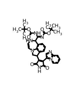 CC(C)(C)OC(=O)N=C(NC(=O)OC(C)(C)C)C1NC=CN2CC(C3=C(c4cnc5ccccn45)C(=O)NC3=O)c3cccc1c32